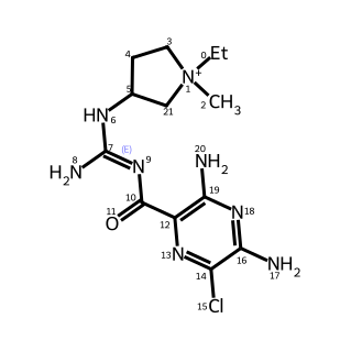 CC[N+]1(C)CCC(N/C(N)=N/C(=O)c2nc(Cl)c(N)nc2N)C1